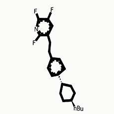 CCCC[C@H]1CC[C@H](c2ccc(CCc3cc(F)c(F)nc3F)cc2)CC1